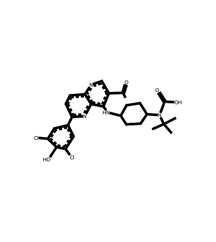 CC(=O)c1cnc2ccc(-c3cc(Cl)c(O)c(Cl)c3)nc2c1NC1CCC(N(C(=O)O)C(C)(C)C)CC1